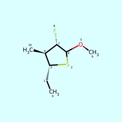 CC[C@H]1SC(OC)[C@@H](F)[C@@H]1C